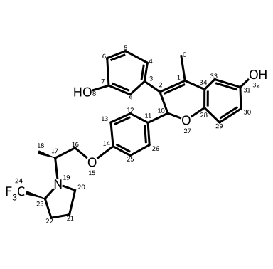 CC1=C(c2cccc(O)c2)C(c2ccc(OC[C@H](C)N3CCC[C@H]3C(F)(F)F)cc2)Oc2ccc(O)cc21